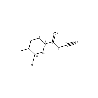 CC1CCN(C(=O)CC#N)CC1I